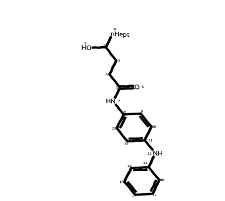 CCCCCCCC(O)CCC(=O)Nc1ccc(Nc2ccccc2)cc1